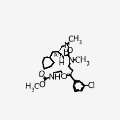 CNC[C@H](CC1CCCCC1)NC(=O)N(C)CC[C@H](OCCNC(=O)OC)c1cccc(Cl)c1